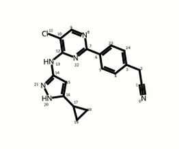 N#CCc1ccc(-c2ncc(Cl)c(Nc3cc(C4CC4)[nH]n3)n2)cc1